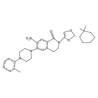 Cc1ccccc1N1CCN(c2cc3c(cc2[N+](=O)[O-])C(=O)N(C2=COC([C@H]4CCCCC4(C)C)O2)CC3)CC1